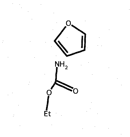 CCOC(N)=O.c1ccoc1